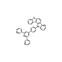 c1cncc(-c2cc(-c3ccc(-n4c5cccnc5c5ccc6sc7ccccc7c6c54)cc3)cc(-c3cccnc3)n2)c1